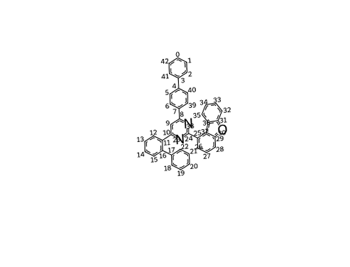 c1ccc(-c2ccc(-c3cc(-c4ccccc4-c4ccccc4)nc(-c4cccc5oc6ccccc6c45)n3)cc2)cc1